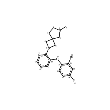 CN1CCC2(C1)CN(c1ncncc1Oc1ccc(F)cc1Br)C2